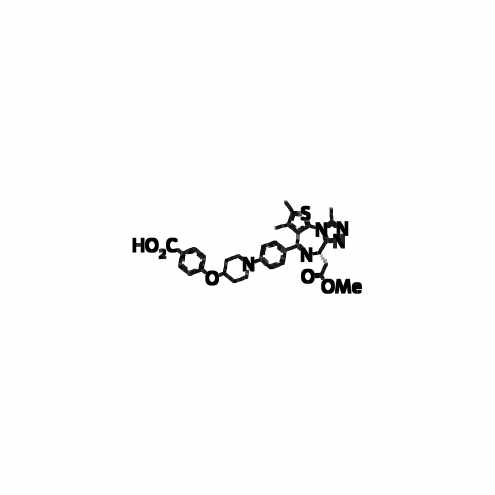 COC(=O)C[C@@H]1N=C(c2ccc(N3CCC(Oc4ccc(C(=O)O)cc4)CC3)cc2)c2c(sc(C)c2C)-n2c(C)nnc21